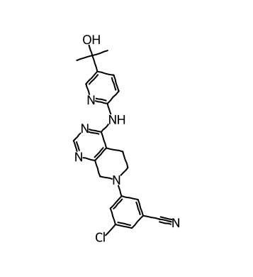 CC(C)(O)c1ccc(Nc2ncnc3c2CCN(c2cc(Cl)cc(C#N)c2)C3)nc1